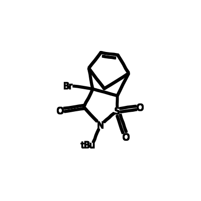 CC(C)(C)N1C(=O)C2(Br)C3C=CC(C3)C2S1(=O)=O